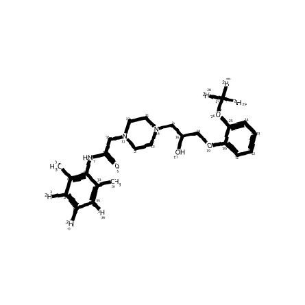 [2H]c1c([2H])c(C)c(NC(=O)CN2CCN(CC(O)COc3ccccc3OC([2H])([2H])[2H])CC2)c(C)c1[2H]